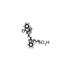 O=C1C(=CC=CC=C2Sc3ccccc3N2CCCS(=O)(=O)O)S(=O)(=O)c2ccccc21